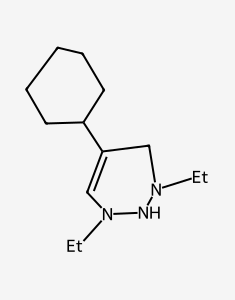 CCN1C=C(C2CCCCC2)CN(CC)N1